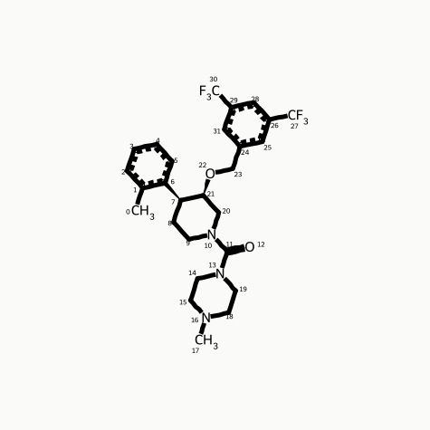 Cc1ccccc1[C@@H]1CCN(C(=O)N2CCN(C)CC2)C[C@@H]1OCc1cc(C(F)(F)F)cc(C(F)(F)F)c1